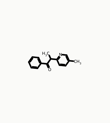 Cc1ccc(C(C)C(=O)c2ccccc2)nc1